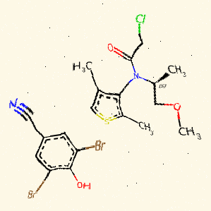 COC[C@H](C)N(C(=O)CCl)c1c(C)csc1C.N#Cc1cc(Br)c(O)c(Br)c1